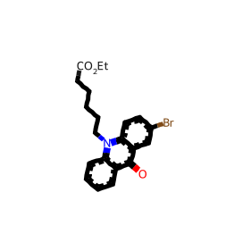 CCOC(=O)CCCCCn1c2ccccc2c(=O)c2cc(Br)ccc21